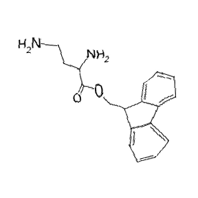 NCCC(N)C(=O)OCC1c2ccccc2-c2ccccc21